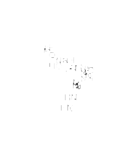 N[C@@H](CCC(=O)N1CCC(Nc2nc(NCc3cn(CCCNCCCNC4CCCCC4)nn3)nc3ccccc23)CC1)C(O)NCc1ccc(C(F)(F)F)cc1